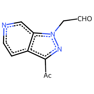 CC(=O)c1nn(CC=O)c2cnccc12